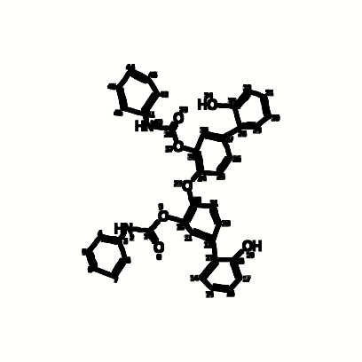 O=C(Nc1ccccc1)Oc1cc(-c2ccccc2O)ccc1Oc1ccc(-c2ccccc2O)cc1OC(=O)Nc1ccccc1